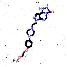 COCCOc1ccc(N2CCN(CCn3ncc4c3=NCN3C(=O)NNC=43)CC2)cc1